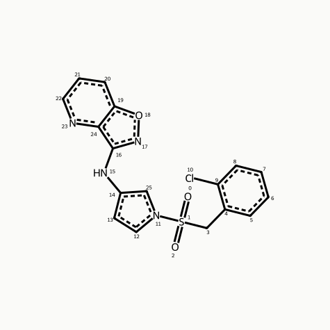 O=S(=O)(Cc1ccccc1Cl)n1ccc(Nc2noc3cccnc23)c1